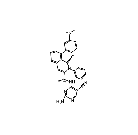 CNc1cccc(-c2cccc3cc([C@H](C)Nc4nc(N)ncc4C#N)n(-c4ccccc4)c(=O)c23)c1